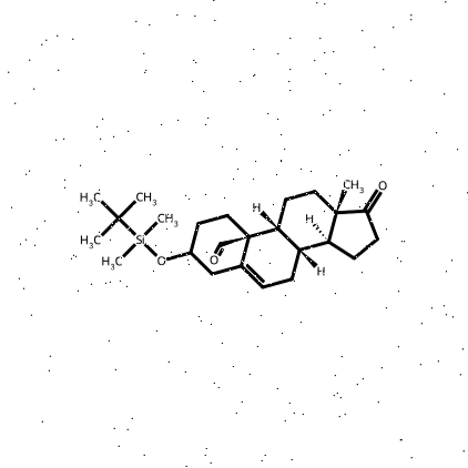 CC(C)(C)[Si](C)(C)OC1CC[C@@]2(C=O)C(=CC[C@@H]3[C@H]2CC[C@]2(C)C(=O)CC[C@@H]32)C1